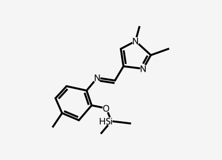 Cc1ccc(N=Cc2cn(C)c(C)n2)c(O[SiH](C)C)c1